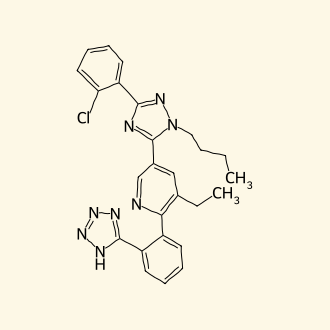 CCCCn1nc(-c2ccccc2Cl)nc1-c1cnc(-c2ccccc2-c2nnn[nH]2)c(CC)c1